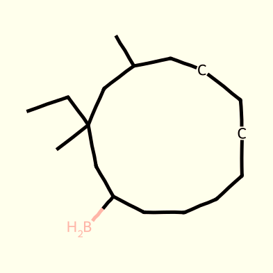 BC1CCCCCCCCC(C)CC(C)(CC)C1